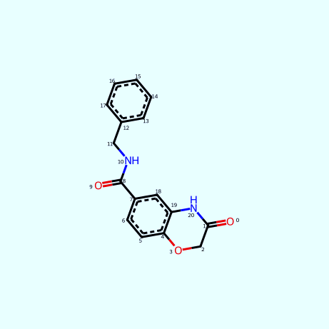 O=C1COc2ccc(C(=O)NCc3ccccc3)cc2N1